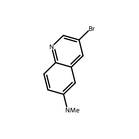 CNc1ccc2ncc(Br)cc2c1